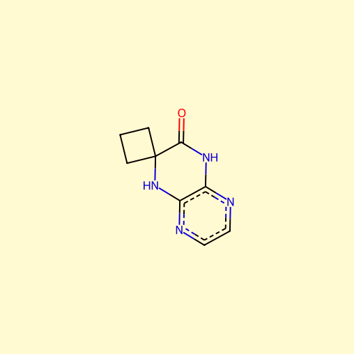 O=C1Nc2nccnc2NC12CCC2